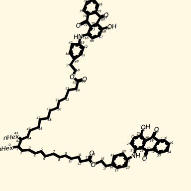 CCCCCCC(CCCCCCCCCCCC(=O)OCCc1ccc(Nc2ccc(O)c3c2C(=O)c2ccccc2C3=O)cc1)C(CCCCCC)CCCCCCCCCCCC(=O)OCCc1ccc(Nc2ccc(O)c3c2C(=O)c2ccccc2C3=O)cc1